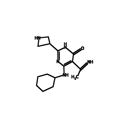 CC(=N)c1c(NC2CCCCC2)nc(C2CNC2)[nH]c1=O